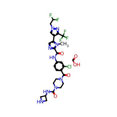 Cn1c(-c2cn(CC(F)F)nc2C(F)(F)F)cnc1C(=O)Nc1ccc(C(=O)N2CCN(C(=O)NC3CNC3)CC2)c(Cl)c1.O=CO